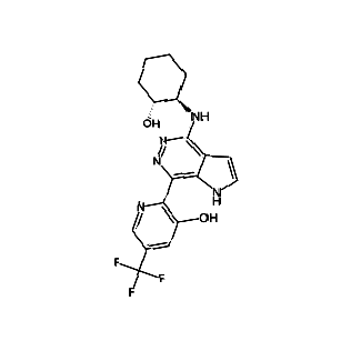 Oc1cc(C(F)(F)F)cnc1-c1nnc(N[C@@H]2CCCC[C@H]2O)c2cc[nH]c12